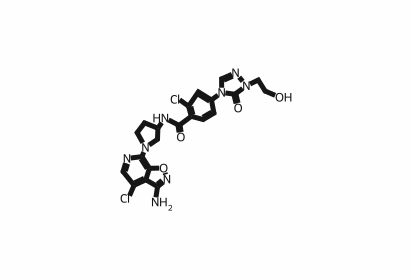 Nc1noc2c(N3CCC(NC(=O)c4ccc(-n5cnn(CCO)c5=O)cc4Cl)C3)ncc(Cl)c12